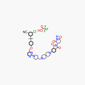 CC(C)(c1ccc(OCc2ccnc(N3CCC(CN4CCC5(CC4)CCN(c4ccc6c(c4)C(=O)N(C4CCC(=O)NC4=O)C6=O)CC5)CC3)n2)cc1)c1cc(Cl)cc(C#N)c1.O=C(O)C(F)(F)F